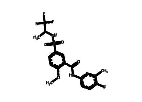 COc1ccc(S(=O)(=O)NC(C)C(F)(F)F)cc1C(=O)Nc1ccc(F)c(C)n1